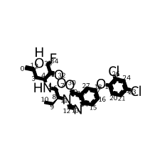 C=C(O)CC(NC(=O)[C@H](CC)n1cnc2ccc(Oc3ccc(Cl)cc3Cl)cc2c1=O)C(=O)CF